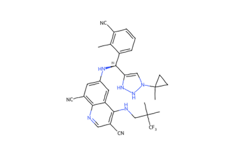 Cc1c(C#N)cccc1[C@H](Nc1cc(C#N)c2ncc(C#N)c(NCC(C)(C)C(F)(F)F)c2c1)C1=CN(C2(C)CC2)NN1